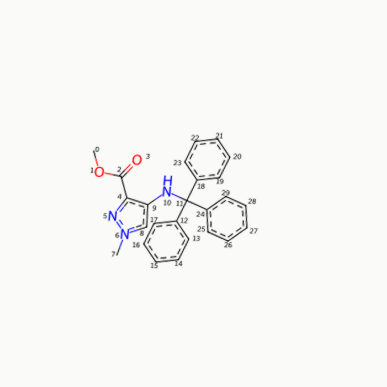 COC(=O)c1nn(C)cc1NC(c1ccccc1)(c1ccccc1)c1ccccc1